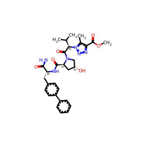 COC(=O)c1nnn([C@@H](C(=O)N2C[C@H](O)C[C@H]2C(=O)N[C@H](Cc2ccc(-c3ccccc3)cc2)C(N)=O)C(C)C)c1C